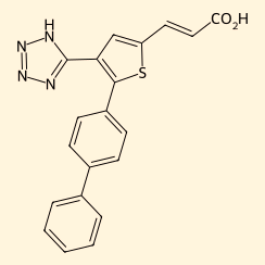 O=C(O)C=Cc1cc(-c2nnn[nH]2)c(-c2ccc(-c3ccccc3)cc2)s1